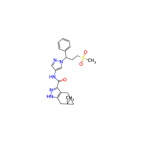 CC12Cc3[nH]nc(C(=O)Nc4cnn(C(CCS(C)(=O)=O)c5ccccc5)c4)c3CC1C2